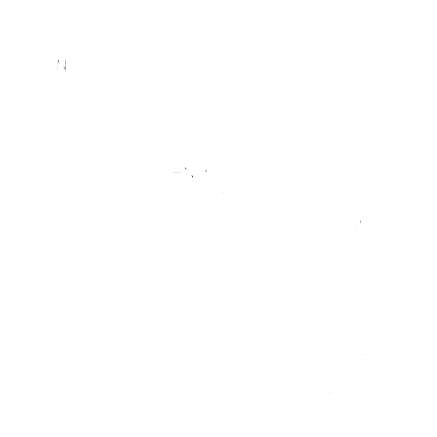 C1=CC(COc2ccccc2C2CC2NCc2ccncc2)=CCC1